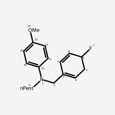 CCCCCN(CC1=CCC(F)C=C1)c1ccc(OC)cc1